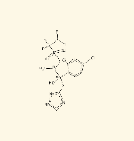 C[C@@H](CS(=O)(=O)C(F)(F)C(F)F)[C@](O)(Cc1nc[nH]n1)c1ccc(Cl)cc1Cl